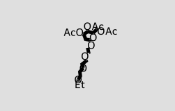 CCOCCOCCOCCOC1CC(OC(C)=O)C(OC(C)=O)C(COC(C)=O)O1